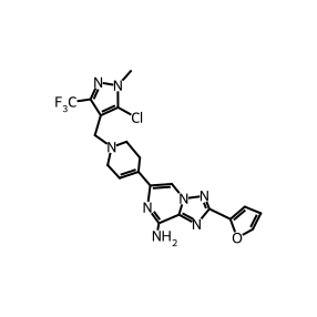 Cn1nc(C(F)(F)F)c(CN2CC=C(c3cn4nc(-c5ccco5)nc4c(N)n3)CC2)c1Cl